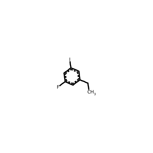 CCc1cc(F)cc(I)c1